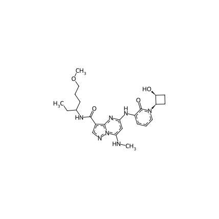 CCC(CCCOC)NC(=O)c1cnn2c(NC)cc(Nc3cccn([C@@H]4CC[C@@H]4O)c3=O)nc12